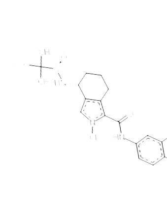 Cn1cc2c(c1C(=O)Nc1ccc(F)c(Cl)c1)CCC[C@H]2N[S@+]([O-])C(C)(C)C